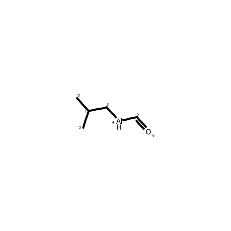 CC(C)[CH2][AlH][CH]=O